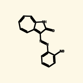 O=Nc1ccccc1/N=N/c1c2cccccc-2[nH]c1=O